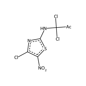 CC(=O)C(Cl)(Cl)Nc1nc(Cl)c([N+](=O)[O-])s1